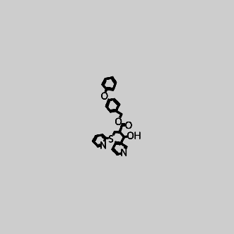 O=C(OCc1ccc(Oc2ccccc2)cc1)C(CSc1ccccn1)C(O)c1cccnc1